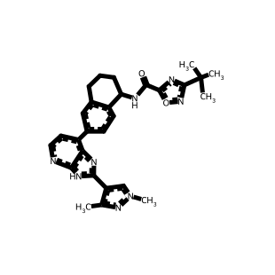 Cc1nn(C)cc1-c1nc2c(-c3ccc4c(c3)CCCC4NC(=O)c3nc(C(C)(C)C)no3)ccnc2[nH]1